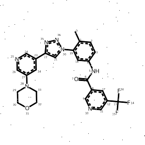 Cc1ccc(NC(=O)c2cncc(C(F)(F)F)c2)cc1-n1cc(-c2cncc(N3CCOCC3)c2)nn1